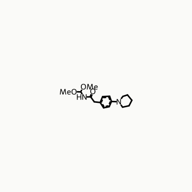 COC(NC(=O)Cc1ccc(N2CCCCC2)cc1)OC